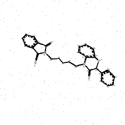 O=C1c2ccccc2C(=O)N1CCCCCN1C(=O)C(c2ccccc2)Oc2ccccc21